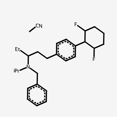 CC#N.CCC(CCc1ccc(C2C(F)CCCC2F)cc1)N(Cc1ccccc1)C(C)C